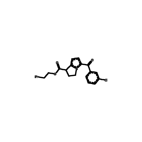 CC(C)CCOC(=O)C1CCn2c(C(=O)c3cccc(Cl)c3)ccc21